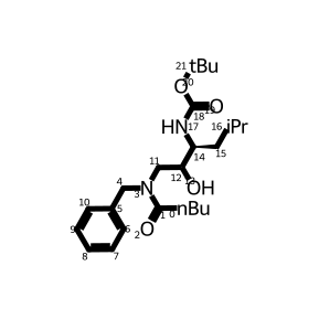 CCCCC(=O)N(Cc1ccccc1)CC(O)[C@H](CC(C)C)NC(=O)OC(C)(C)C